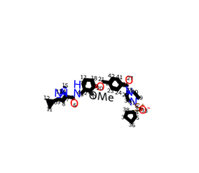 COc1c(CNC(=O)c2cc(C3CC3)nn2C)cccc1OCc1ccc(C(=O)N2CCN([S+]([O-])C3CCCC3)CC2)cc1